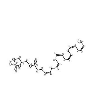 CC/C=C\C/C=C\C/C=C\C/C=C\C/C=C\C/C=C\CCC(=O)OCC1COS(=O)(=O)O1